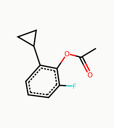 CC(=O)Oc1c(F)cccc1C1CC1